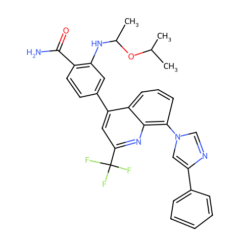 CC(C)OC(C)Nc1cc(-c2cc(C(F)(F)F)nc3c(-n4cnc(-c5ccccc5)c4)cccc23)ccc1C(N)=O